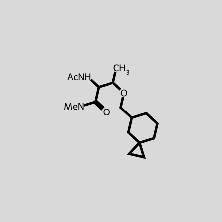 CNC(=O)C(NC(C)=O)C(C)OCC1CCCC2(CC2)C1